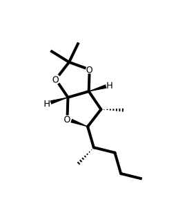 CCC[C@H](C)[C@H]1O[C@@H]2OC(C)(C)O[C@@H]2[C@@H]1C